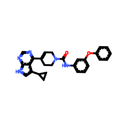 O=C(Nc1cccc(Oc2ccccc2)c1)N1CC=C(c2ncnc3[nH]cc(C4CC4)c23)CC1